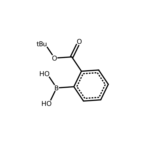 CC(C)(C)OC(=O)c1ccccc1B(O)O